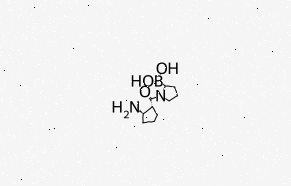 N[C@@H]1CCC[C@H]1C(=O)N1CCCC1B(O)O